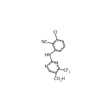 N#Cc1c(Cl)cccc1Nc1ncc(C(=O)O)c(C(F)(F)F)n1